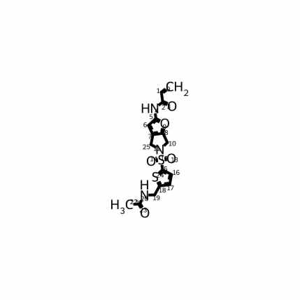 C=CC(=O)Nc1cc2c(o1)CN(S(=O)(=O)c1ccc(CNC(C)=O)s1)C2